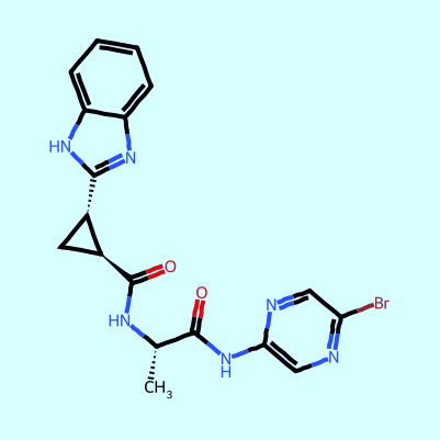 C[C@H](NC(=O)[C@H]1C[C@@H]1c1nc2ccccc2[nH]1)C(=O)Nc1cnc(Br)cn1